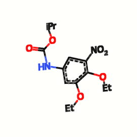 CCOc1cc(NC(=O)OC(C)C)cc([N+](=O)[O-])c1OCC